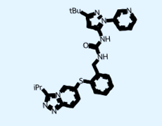 CC(C)c1nnc2ccc(Sc3ccccc3CNC(=O)Nc3cc(C(C)(C)C)nn3-c3cccnc3)cn12